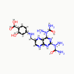 NC(=O)N(N)c1nc(N(N)C(N)=O)c2nc(CNc3ccc(C(=O)O)c(O)c3)cnc2n1